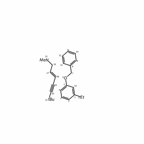 CCc1cccc(OCc2ccccc2)c1.CNCC=CC#CC(C)(C)C